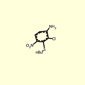 CCCCSc1c([N+](=O)[O-])ccc(N)c1Cl